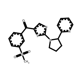 CS(=O)(=O)c1cccc(C(=O)c2cnc(N3CCCC3c3ccccn3)s2)c1